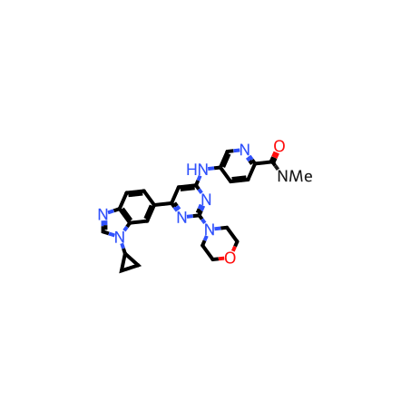 CNC(=O)c1ccc(Nc2cc(-c3ccc4ncn(C5CC5)c4c3)nc(N3CCOCC3)n2)cn1